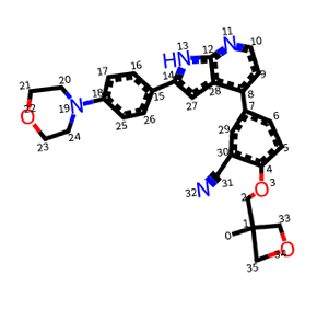 CC1(COc2ccc(-c3ccnc4[nH]c(-c5ccc(N6CCOCC6)cc5)cc34)cc2C#N)COC1